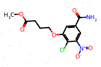 COC(=O)CCCOc1cc(C(N)=O)cc([N+](=O)[O-])c1Cl